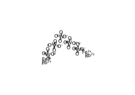 [Fe+3].[Fe+3].[O]=[W](=[O])([O-])[O-].[O]=[W](=[O])([O-])[O-].[O]=[W](=[O])([O-])[O-].[O]=[W](=[O])([O-])[O-].[O]=[W](=[O])([O-])[O-].[Pb+2].[Pb+2]